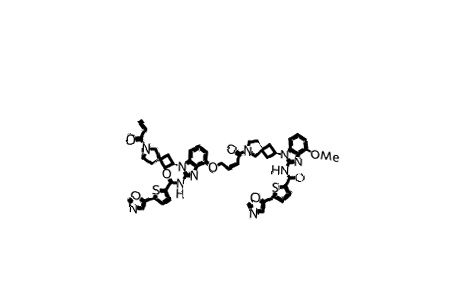 C=CC(=O)N1CC[C@]2(C1)C[C@@H](n1c(NC(=O)c3ccc(-c4cnco4)s3)nc3c(OC/C=C\C(=O)N4CC[C@]5(C4)C[C@H](n4c(NC(=O)c6ccc(-c7cnco7)s6)nc6c(OC)cccc64)C5)cccc31)C2